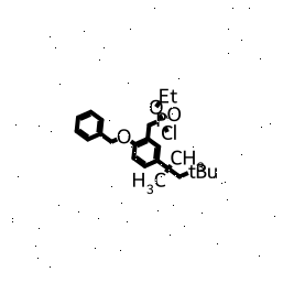 CCOP(=O)(Cl)Cc1cc(C(C)(C)CC(C)(C)C)ccc1OCc1ccccc1